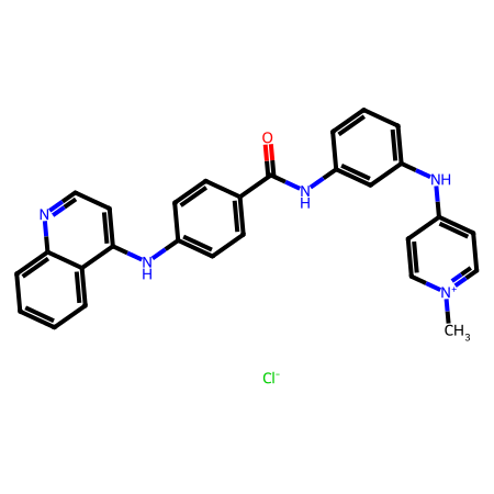 C[n+]1ccc(Nc2cccc(NC(=O)c3ccc(Nc4ccnc5ccccc45)cc3)c2)cc1.[Cl-]